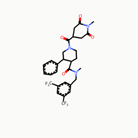 CN(Cc1cc(C(F)(F)F)cc(C(F)(F)F)c1)C(=O)C1CCN(C(=O)C2CC(=O)N(C)C(=O)C2)CC1c1ccccc1